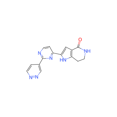 O=C1NCCc2[nH]c(-c3ccnc(-c4ccnnc4)n3)cc21